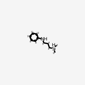 C[SiH](C)CCCNc1ccccc1